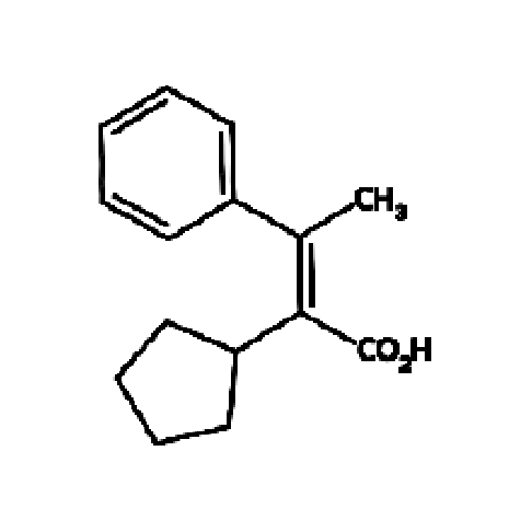 C/C(=C(\C(=O)O)C1CCCC1)c1ccccc1